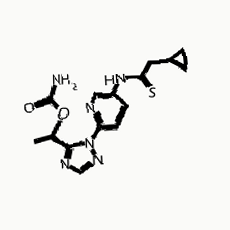 CC(OC(N)=O)c1ncnn1-c1ccc(NC(=S)CC2CC2)cn1